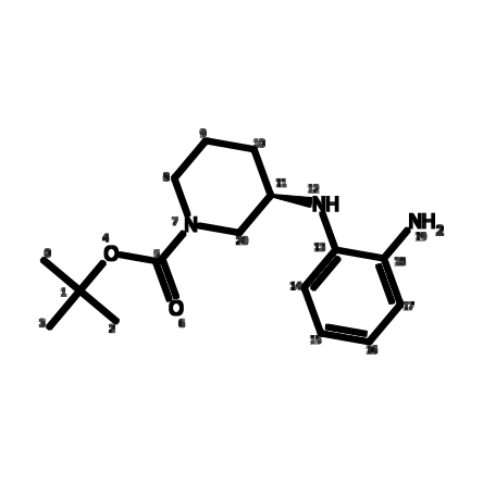 CC(C)(C)OC(=O)N1CCC[C@@H](Nc2ccccc2N)C1